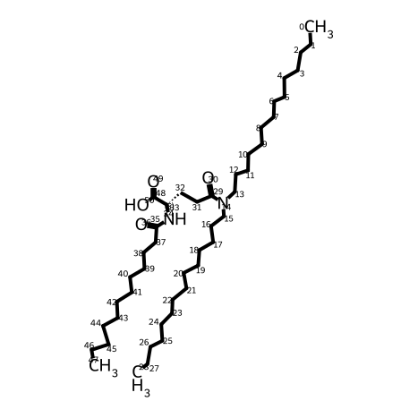 CCCCCCCCCCCCCCN(CCCCCCCCCCCCCC)C(=O)CC[C@H](NC(=O)CCCCCCCCCCC)C(=O)O